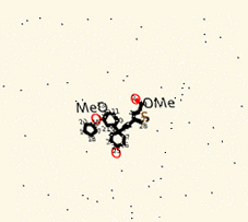 COC(=O)c1cc(C#CC2(c3ccc(OC)c(OC4CCCC4)c3)CCC(=O)CC2)cs1